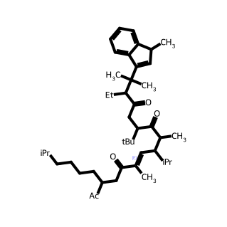 CCC(C(=O)CC(C(=O)C(C)C(/C=C(\C)C(=O)CC(CCCCC(C)C)C(C)=O)C(C)C)C(C)(C)C)C(C)(C)C1=CC(C)c2ccccc21